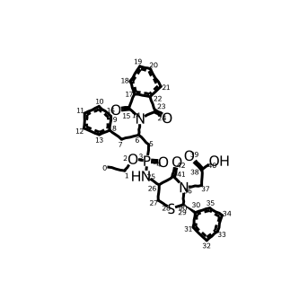 CCOP(=O)(CC(Cc1ccccc1)N1C(=O)c2ccccc2C1=O)NC1CS[C@H](c2ccccc2)N(CC(=O)O)C1=O